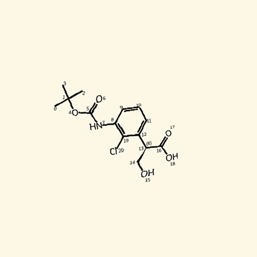 CC(C)(C)OC(=O)Nc1cccc([C@H](CO)C(=O)O)c1Cl